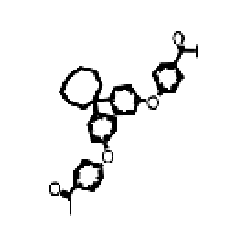 O=C(I)c1ccc(Oc2ccc(C3(c4ccc(Oc5ccc(C(=O)I)cc5)cc4)CCCCCCC3)cc2)cc1